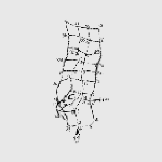 C[C@]12[C@@H]3CC[C@H]4C5C6C7C8C9C%10CC%11C%12CC%13C%14C%15C%16C%17C3C13C%171C%16%17C%15%16C%14%15C%12%13C%11%10C9%15C8%16C7%17C61C53[C@@]42C